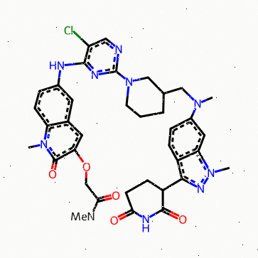 CNC(=O)COc1cc2cc(Nc3nc(N4CCCC(CN(C)c5ccc6c(C7CCC(=O)NC7=O)nn(C)c6c5)C4)ncc3Cl)ccc2n(C)c1=O